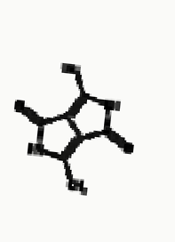 CC1=C2C(=O)NC(C(C)(C)C)=C2C(=O)N1